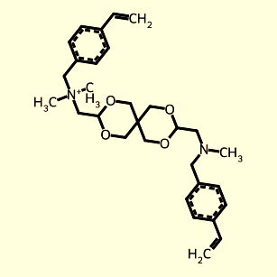 C=Cc1ccc(CN(C)CC2OCC3(CO2)COC(C[N+](C)(C)Cc2ccc(C=C)cc2)OC3)cc1